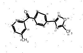 Cc1ccnc(C(=O)c2ccc(-c3noc(C(F)(F)F)n3)cc2)c1